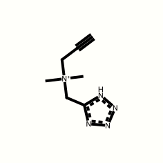 C#CC[N+](C)(C)Cc1nnn[nH]1